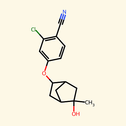 CC1(O)CC2CC1CC2Oc1ccc(C#N)c(Cl)c1